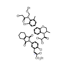 CC1COc2ccccc2N1C(=O)C(Cl)Cl.CCOC(=O)/C(Cl)=C/c1cc(N2C(=O)C3=C(CCCC3)C2=O)ccc1Cl.CCOCN(C(=O)CCl)c1c(C)cccc1CC